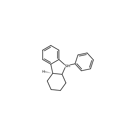 c1ccc([SiH]2c3ccccc3[C@@H]3CCCCC32)cc1